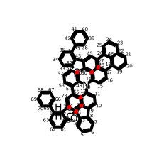 CC1(C)c2ccccc2-c2ccc(N(c3ccc(-c4cccc5cccc(-c6ccc7oc8cccc(-c9ccccc9)c8c7c6)c45)cc3)c3ccccc3-c3ccc4oc5cccc(-c6ccccc6)c5c4c3)cc21